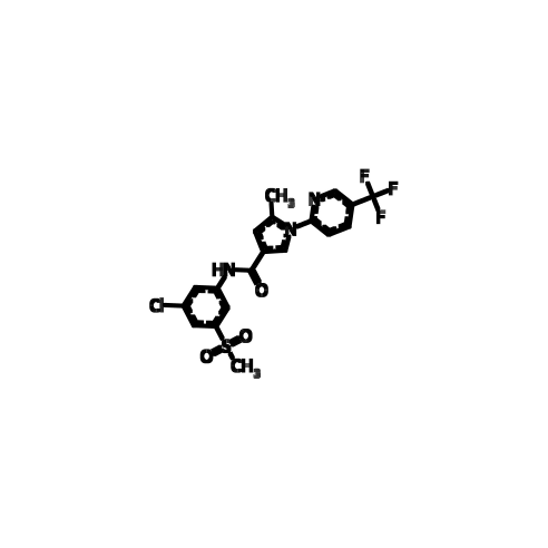 Cc1cc(C(=O)Nc2cc(Cl)cc(S(C)(=O)=O)c2)cn1-c1ccc(C(F)(F)F)cn1